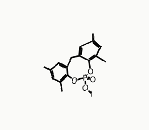 Cc1cc(C)c2c(c1)Cc1cc(C)cc(C)c1OP(=O)(OI)O2